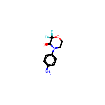 Nc1ccc(N2CCOC(F)(F)C2=O)cc1